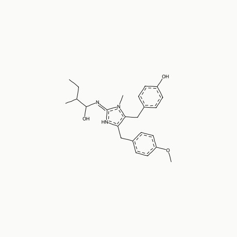 CCC(C)C(O)/N=c1\[nH]c(Cc2ccc(OC)cc2)c(Cc2ccc(O)cc2)n1C